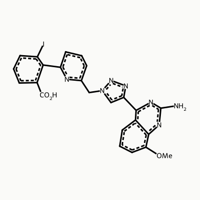 COc1cccc2c(-c3cn(Cc4cccc(-c5c(I)cccc5C(=O)O)n4)nn3)nc(N)nc12